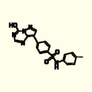 Cc1ccc(NS(=O)(=O)c2ccc(-c3cnn4c(O)ncnc34)cc2)cc1